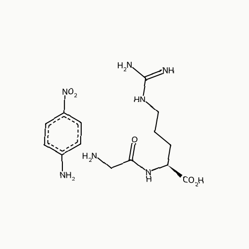 N=C(N)NCCC[C@H](NC(=O)CN)C(=O)O.Nc1ccc([N+](=O)[O-])cc1